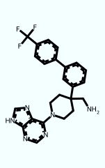 NCC1(c2cccc(-c3ccc(C(F)(F)F)cc3)c2)CCN(c2ncnc3[nH]cnc23)CC1